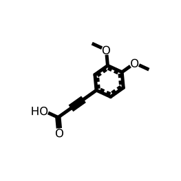 COc1ccc(C#CC(=O)O)cc1OC